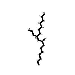 CCCCCCCC(C)[CH]C(CCC)CCCCCCC